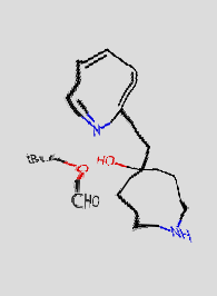 CC(C)(C)OC=O.OC1(Cc2ccccn2)CCNCC1